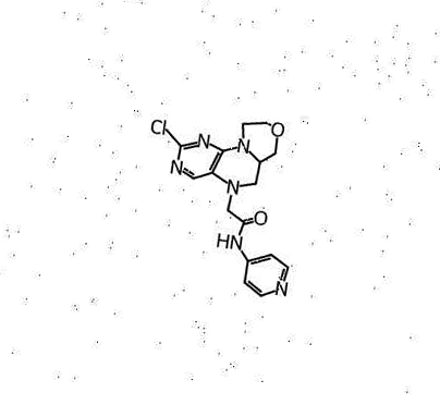 O=C(CN1CC2COCCN2c2nc(Cl)ncc21)Nc1ccncc1